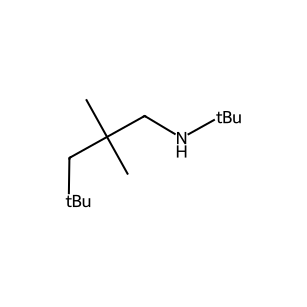 CC(C)(C)CC(C)(C)CNC(C)(C)C